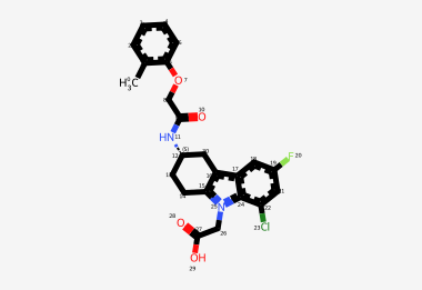 Cc1ccccc1OCC(=O)N[C@H]1CCc2c(c3cc(F)cc(Cl)c3n2CC(=O)O)C1